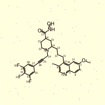 COc1ccc2ncc(C)c(CCCC3CC(C(=O)NO)CCN3CC#Cc3cc(F)c(F)c(F)c3)c2c1